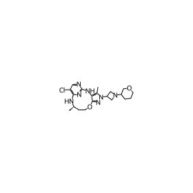 Cc1c2c(nn1C1CN(C3CCCOC3)C1)OCC[C@@H](C)Nc1nc(ncc1Cl)N2